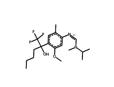 CCCCC(O)(c1cc(C)c(/N=C\N(C)C(C)C)cc1OC)C(F)(F)F